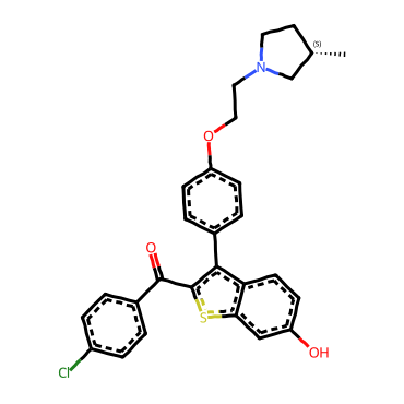 C[C@H]1CCN(CCOc2ccc(-c3c(C(=O)c4ccc(Cl)cc4)sc4cc(O)ccc34)cc2)C1